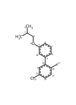 CC(C)COc1cccc(-c2cc(Cl)ccc2I)c1